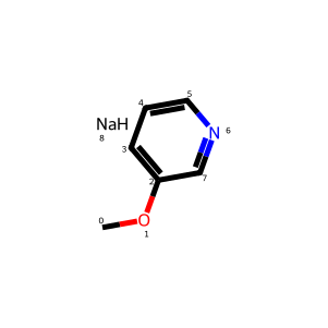 COc1cccnc1.[NaH]